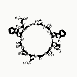 CCC1NC(=O)[C@H](CC(C)C)NC(=O)[C@H](CCC(=O)O)NC(=O)CNC(=O)[C@H](CC(C)C)NC(=O)[C@H](Cc2c[nH]cn2)NC(=O)[C@H](Cc2c[nH]c3ccccc23)NC(=O)[C@H](C)NC(=O)[C@@H](NI)CSCC[C@@H](C(=O)NC[C@@H](C)O)NC(=O)[C@H](Cc2c[nH]c3ccccc23)NC1=O